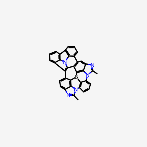 Cc1nc2ccc3c4c2n1-c1cccc2c1B4c1c4c(cc5nc(C)n-2c15)c1cccc2c5cccc6c-3c4n(c65)c12